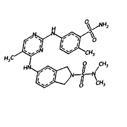 Cc1ccc(Nc2ncc(C)c(Nc3ccc4c(c3)CN(S(=O)(=O)N(C)C)C4)n2)cc1S(N)(=O)=O